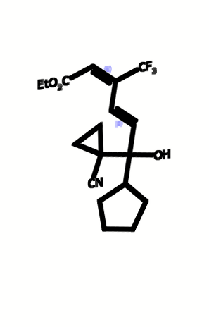 CCOC(=O)/C=C(\C=C\C(O)(C1CCCC1)C1(C#N)CC1)C(F)(F)F